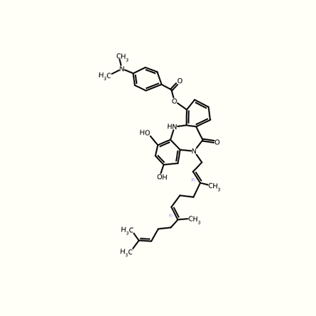 CC(C)=CCC/C(C)=C/CC/C(C)=C/CN1C(=O)c2cccc(OC(=O)c3ccc(N(C)C)cc3)c2Nc2c(O)cc(O)cc21